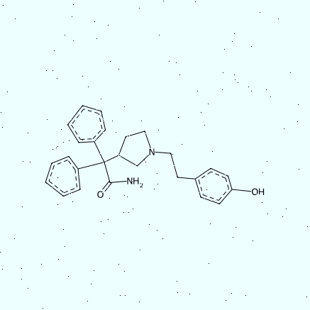 NC(=O)C(c1ccccc1)(c1ccccc1)C1CCN(CCc2ccc(O)cc2)C1